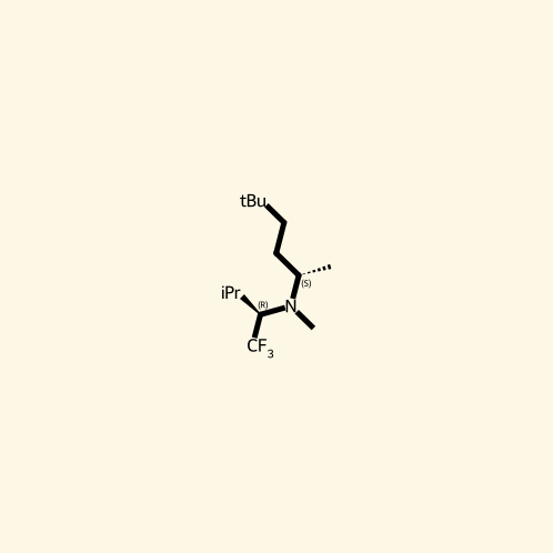 CC(C)[C@@H](N(C)[C@@H](C)CCC(C)(C)C)C(F)(F)F